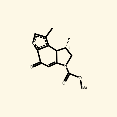 Cc1csc2c1C1C(=CC2=O)N(C(=O)OC(C)(C)C)C[C@H]1C